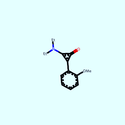 CCN(CC)c1c(-c2ccccc2OC)c1=O